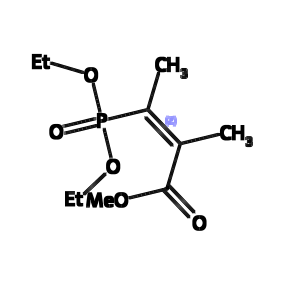 CCOP(=O)(OCC)/C(C)=C(/C)C(=O)OC